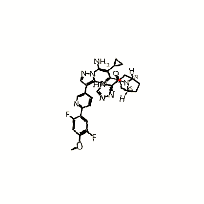 COc1cc(F)c(-c2ccc(-c3cnn4c(N)c(C5CC5)c([C@@H]5C[C@H]6CC[C@@H](C5)N6C(=O)c5nnc[nH]5)nc34)cn2)cc1F